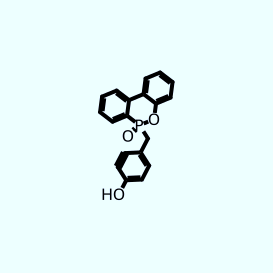 O=P1(Cc2c#cc(O)cc2)Oc2ccccc2-c2ccccc21